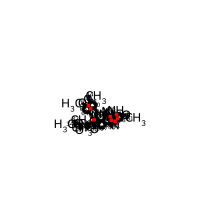 COc1ccc(CN(Cc2ccc(OC)cc2)S(=O)(=O)c2c(S(=O)(=O)C3CN(C(=O)OC(C)(C)C)C3)ccc(-c3cnc4ccc(N)nn34)c2-c2nnnn2Cc2ccc(OC)cc2)cc1